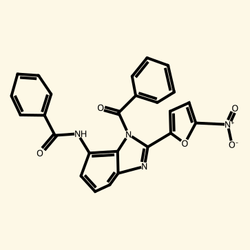 O=C(Nc1cccc2nc(-c3ccc([N+](=O)[O-])o3)n(C(=O)c3ccccc3)c12)c1ccccc1